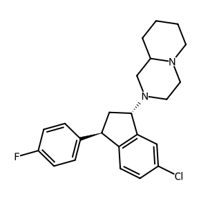 Fc1ccc([C@H]2C[C@H](N3CCN4CCCCC4C3)c3cc(Cl)ccc32)cc1